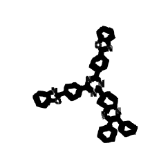 c1ccc(-c2nc3ccc(-c4nc(-c5ccc(-c6nc7ccccc7o6)cc5)nc(-c5ccc(-c6nc7ccccc7o6)cc5)n4)cc3nc2-c2ccccc2)cc1